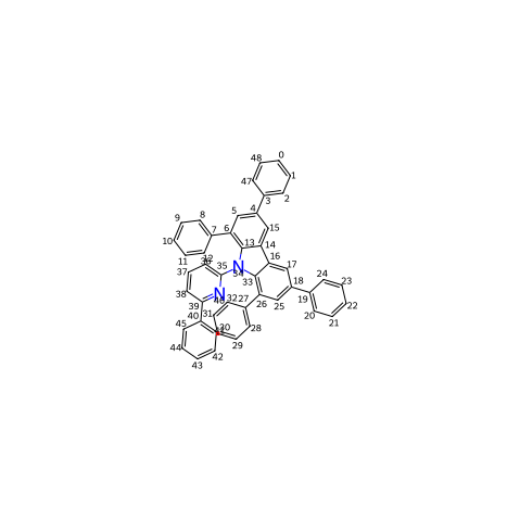 c1ccc(-c2cc(-c3ccccc3)c3c(c2)c2cc(-c4ccccc4)cc(-c4ccccc4)c2n3-c2cccc(-c3ccccc3)n2)cc1